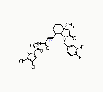 CC12CCCC(/C=C/C(=O)NS(=O)(=O)c3cc(Cl)c(Cl)s3)=C1N(Cc1ccc(F)c(F)c1)C(=O)C2